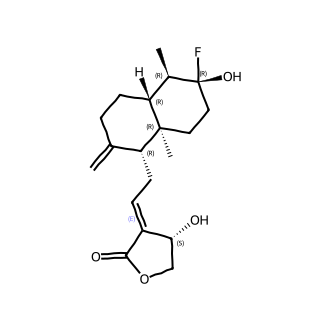 C=C1CC[C@@H]2[C@@H](C)[C@](O)(F)CC[C@@]2(C)[C@@H]1C/C=C1/C(=O)OC[C@H]1O